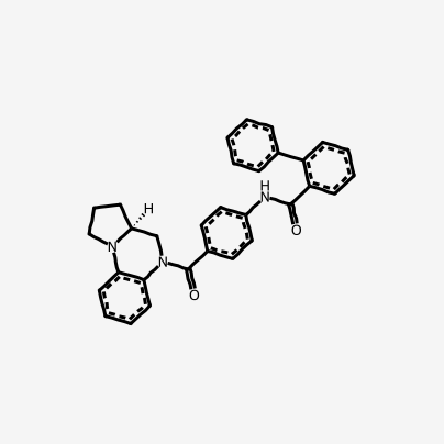 O=C(Nc1ccc(C(=O)N2C[C@@H]3CCCN3c3ccccc32)cc1)c1ccccc1-c1ccccc1